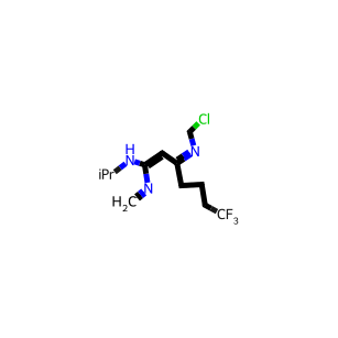 C=N/C(=C\C(CCCC(F)(F)F)=N/CCl)NC(C)C